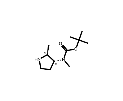 C[C@@H]1NCC[C@H]1N(C)C(=O)OC(C)(C)C